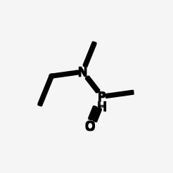 CCN(C)[PH](C)=O